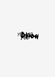 CN(C(=N)SC(=N)c1ccc(-c2cnn(C)c2)cc1O)C1CC(C)(C)NC(C)(C)C1